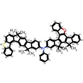 CC1(C)c2cc(N(c3ccccc3)c3ccc4c(c3)C(C)(C)c3c5c(c6oc7ccccc7c6c3-4)-c3ccccc3C5(C)C)ccc2-c2cc3c(cc21)-c1c(ccc2sc4ccccc4c12)C3(C)C